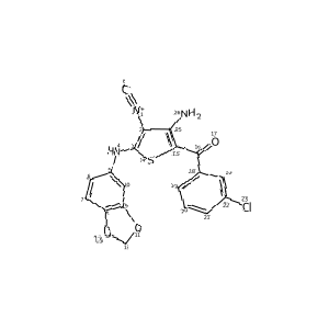 [C-]#[N+]c1c(Nc2ccc3c(c2)OCO3)sc(C(=O)c2cccc(Cl)c2)c1N